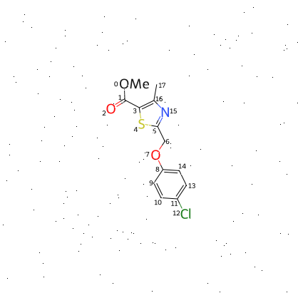 COC(=O)c1sc(COc2ccc(Cl)cc2)nc1C